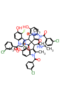 CCCNC(=O)C(c1c(C)n(C(=O)c2cccc(Cl)c2)c2ccc(O)c(F)c12)(C(C(=O)NC)c1c(C)n(C(=O)c2cccc(Cl)c2)c2ccc(O)c(F)c12)C(C(=O)NCC)c1c(C)n(C(=O)c2cccc(Cl)c2)c2ccc(O)c(F)c12